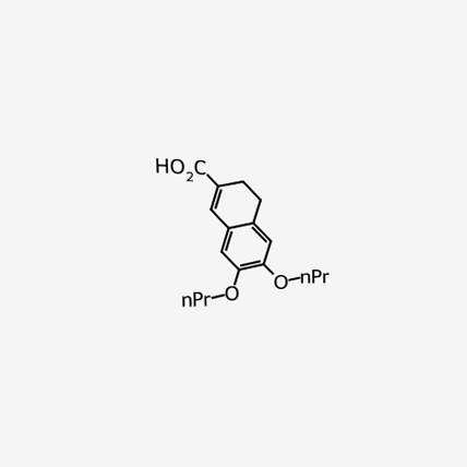 CCCOc1cc2c(cc1OCCC)CCC(C(=O)O)=C2